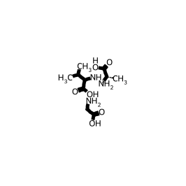 CC(C)C(N)C(=O)O.C[C@H](N)C(=O)O.NCC(=O)O